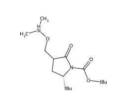 C[SiH](C)OCC1C[C@@H](C(C)(C)C)N(C(=O)OC(C)(C)C)C1=O